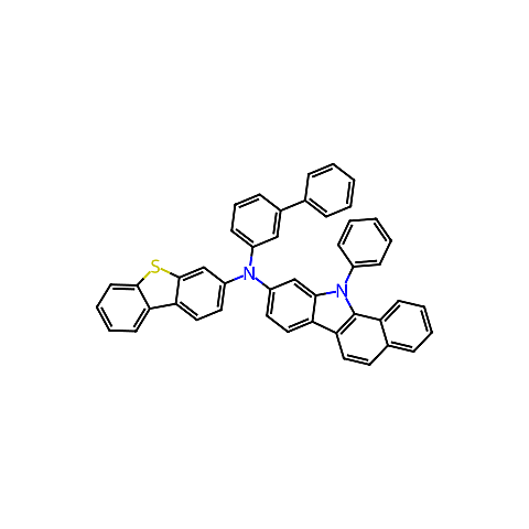 c1ccc(-c2cccc(N(c3ccc4c(c3)sc3ccccc34)c3ccc4c5ccc6ccccc6c5n(-c5ccccc5)c4c3)c2)cc1